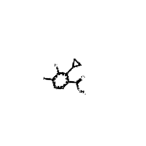 NC(=O)c1ccc(F)c(F)c1C1CC1